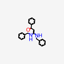 O=C(C=C(NCc1ccccc1)NCc1ccccc1)c1ccccc1